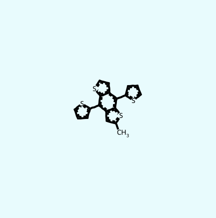 Cc1cc2c(-c3cccs3)c3sccc3c(-c3cccs3)c2s1